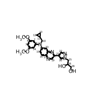 COc1cc(OC)cc(N(CC2CC2)c2ccc3ncc(-c4cnn(CC(O)CO)c4)nc3c2)c1